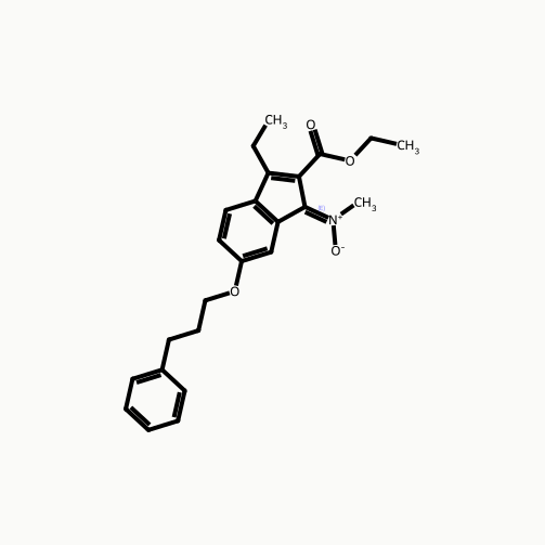 CCOC(=O)C1=C(CC)c2ccc(OCCCc3ccccc3)cc2/C1=[N+](/C)[O-]